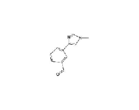 Cn1cnc(-c2cccc(C=O)c2)c1